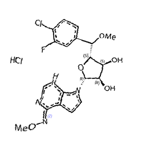 CO/N=c1\nc[nH]c2c1ccn2[C@@H]1O[C@H](C(OC)c2ccc(Cl)c(F)c2)[C@@H](O)[C@H]1O.Cl